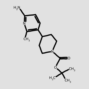 Cc1nc(N)ccc1C1CCN(C(=O)OC(C)(C)C)CC1